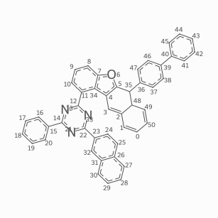 C1=CC2=Cc3c(oc4cccc(-c5nc(-c6ccccc6)nc(-c6ccc7ccccc7c6)n5)c34)C(c3ccc(-c4ccccc4)cc3)C2C=C1